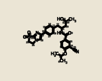 CC(C)Oc1ccc(C(=O)NC(Cc2ccc(-c3cn4c(n3)S(=O)(=O)CC4)cc2)C[C@H](C)O)cc1C#N